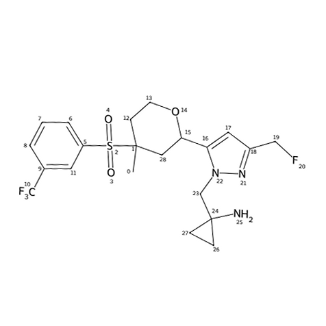 CC1(S(=O)(=O)c2cccc(C(F)(F)F)c2)CCOC(c2cc(CF)nn2CC2(N)CC2)C1